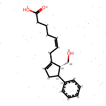 O=C(O)CCC/C=C\CC1=CCC(c2ccccc2)[C@H]1CO